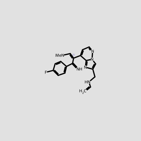 C=CNCc1cn2nccc(/C(=C/NC)C(=N)c3ccc(F)cc3)c2n1